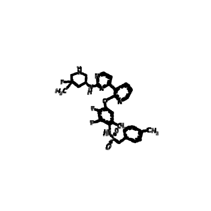 Cc1ccc(CS(=O)(=O)Nc2c(C)cc(Oc3ncccc3-c3ccnc(N[C@@H]4CNC[C@@](C)(F)C4)n3)c(F)c2F)cc1